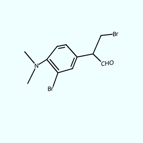 CN(C)c1ccc(C(C=O)CBr)cc1Br